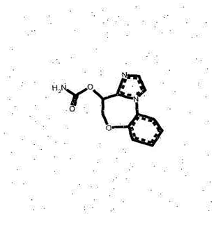 NC(=O)OC1COc2ccccc2-n2ccnc21